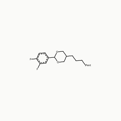 CCCC(C)CCCC1COC(c2ccc(F)c(F)c2)OC1